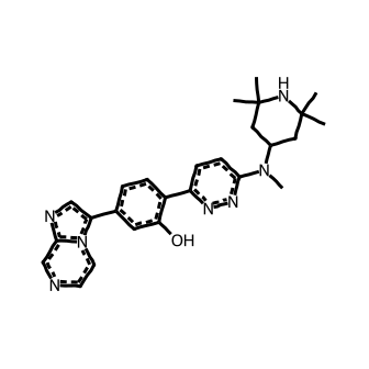 CN(c1ccc(-c2ccc(-c3cnc4cnccn34)cc2O)nn1)C1CC(C)(C)NC(C)(C)C1